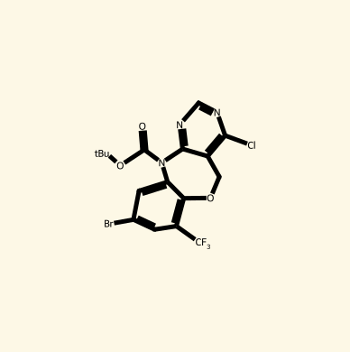 CC(C)(C)OC(=O)N1c2cc(Br)cc(C(F)(F)F)c2OCc2c(Cl)ncnc21